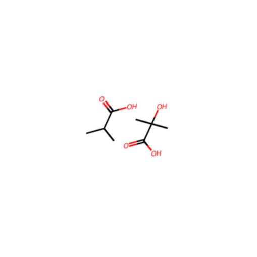 CC(C)(O)C(=O)O.CC(C)C(=O)O